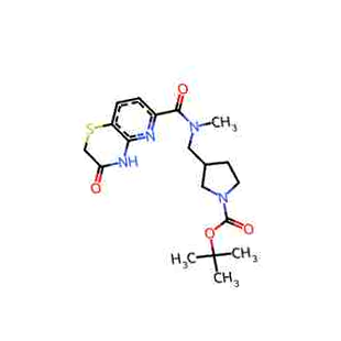 CN(CC1CCN(C(=O)OC(C)(C)C)C1)C(=O)c1ccc2c(n1)NC(=O)CS2